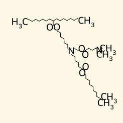 CCCCCCCCC(CCCCCCCC)C(=O)OCCCCCCCN(CCCCCC(=O)OCCCCCCCCC(C)C)CCOC(=O)CCCN(C)C